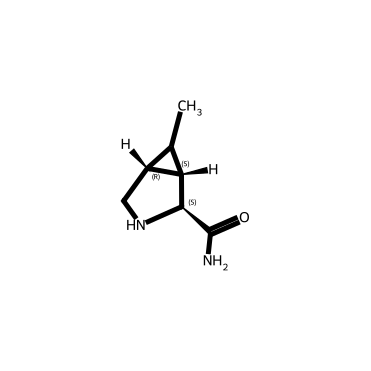 CC1[C@@H]2[C@@H](C(N)=O)NC[C@H]12